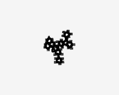 C1=Cc2cccc3cc4c(c(c23)C1)Oc1cc(-c2ccccc2)ccc1N4c1ccc2c(c1)c1ccccc1n2-c1ccccc1